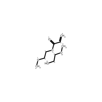 C=CC(=O)OCCOC.COCCO